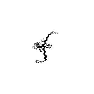 CCCCCCCCCCCCCCCC(=O)C(O)C(O)(C(=O)C(CCC)CCC)C(O)C(=O)CCCCCCCCCCCCCCC